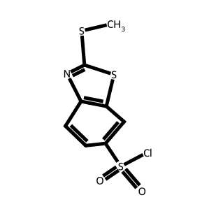 CSc1nc2ccc(S(=O)(=O)Cl)cc2s1